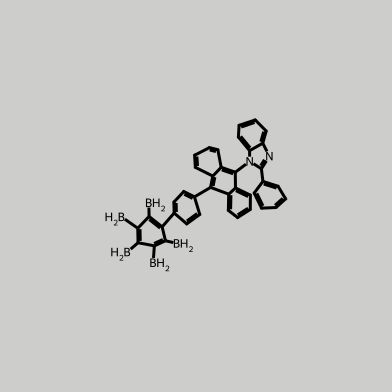 Bc1c(B)c(B)c(-c2ccc(-c3c4ccccc4c(-n4c(-c5ccccc5)nc5ccccc54)c4ccccc34)cc2)c(B)c1B